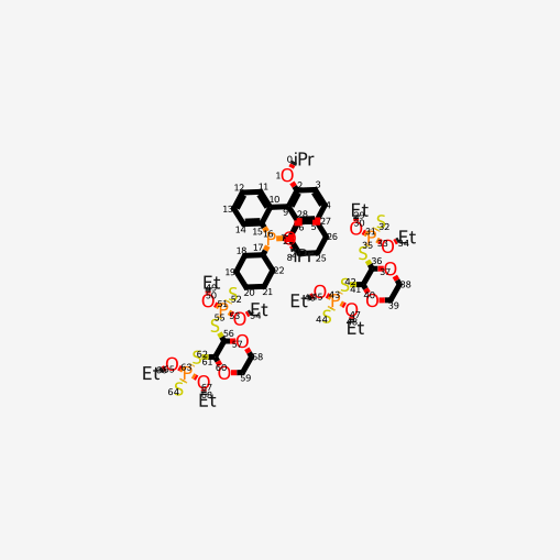 CC(C)Oc1cccc(OC(C)C)c1-c1ccccc1P(C1CCCCC1)C1CCCCC1.CCOP(=S)(OCC)SC1OCCOC1SP(=S)(OCC)OCC.CCOP(=S)(OCC)SC1OCCOC1SP(=S)(OCC)OCC